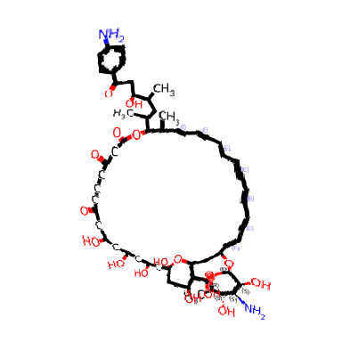 CC1/C=C/C=C/C=C/C=C/C=C/C=C/C=C/C(O[C@@H]2O[C@H](C)[C@@H](O)[C@H](N)[C@@H]2O)CC2OC(O)(CC(O)CC(O)CC(O)CC(=O)CCCC(=O)CC(=O)OC1C(C)CC(C)C(O)CC(=O)c1ccc(N)cc1)CC(O)C2C(=O)O